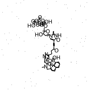 C=C1NC(=O)C(C#CC(=O)CCc2cn(CC(=O)N(C)Cc3ccc4cccc(B(O)O)c4n3)nn2)=CN1[C@H]1CC(O)[C@@H](COP(=O)(O)OP(=O)(O)OP(=O)(O)O)O1